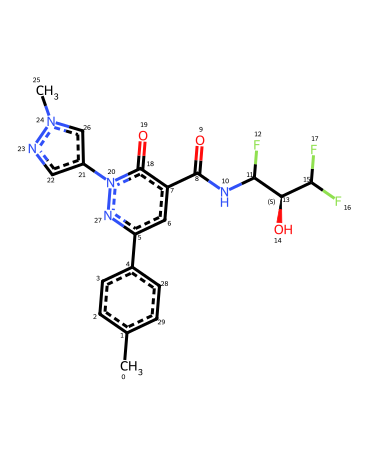 Cc1ccc(-c2cc(C(=O)NC(F)[C@H](O)C(F)F)c(=O)n(-c3cnn(C)c3)n2)cc1